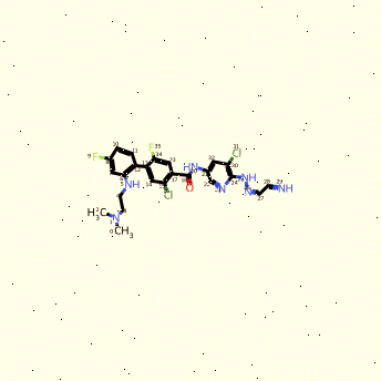 CN(C)CCNc1cc(F)ccc1-c1cc(Cl)c(C(=O)Nc2cnc(N/N=C\C=N)c(Cl)c2)cc1F